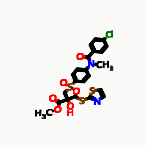 COC(=O)C(O)(CSc1nccs1)CS(=O)(=O)c1ccc(N(C)C(=O)c2ccc(Cl)cc2)cc1